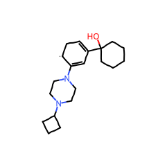 OC1(C2=CC[CH]C(N3CCN(C4CCC4)CC3)=C2)CCCCC1